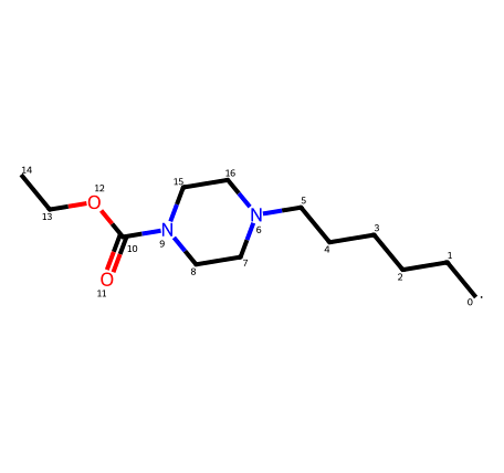 [CH2]CCCCCN1CCN(C(=O)OCC)CC1